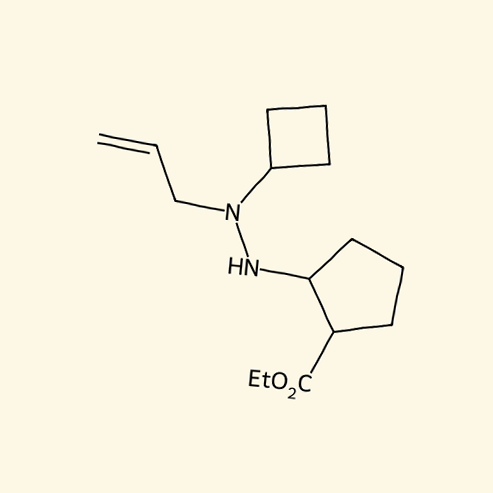 C=CCN(NC1CCCC1C(=O)OCC)C1CCC1